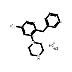 Cc1ccc(Cc2ccccc2)c(N2CCNCC2)c1.Cl.Cl